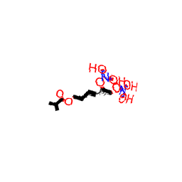 CC(C)C(=O)OCCCC[C@@H](CON(O)O)ON(O)O